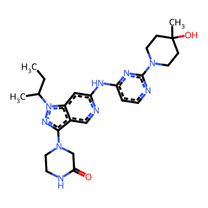 CCC(C)n1nc(N2CCNC(=O)C2)c2cnc(Nc3ccnc(N4CCC(C)(O)CC4)n3)cc21